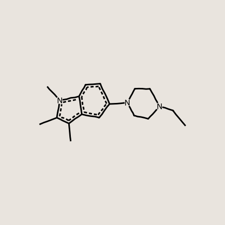 CCN1CCN(c2ccc3c(c2)c(C)c(C)n3C)CC1